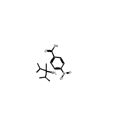 CC(C)C(C)(N)C(C)C.O=C(O)c1ccc([N+](=O)[O-])cc1